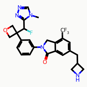 Cn1cnnc1C(F)C1(c2cccc(N3Cc4c(cc(CC5CNC5)cc4C(F)(F)F)C3=O)c2)COC1